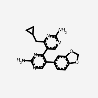 Nc1ncc(-c2nc(N)ncc2-c2ccc3c(c2)OCO3)c(CC2CC2)n1